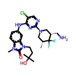 C[C@@H]1CN(c2ncc(Cl)c(Nc3ccc4c(c3)n(CCC(C)(C)O)c(=O)n4C)n2)C[C@H](CN)C1(F)F